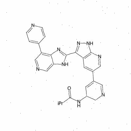 CC(C)C(=O)NC1C=C(c2cnc3[nH]nc(-c4nc5c(-c6ccncc6)cncc5[nH]4)c3c2)C=NC1